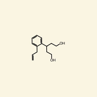 C=CCc1ccccc1[C](CCO)CCO